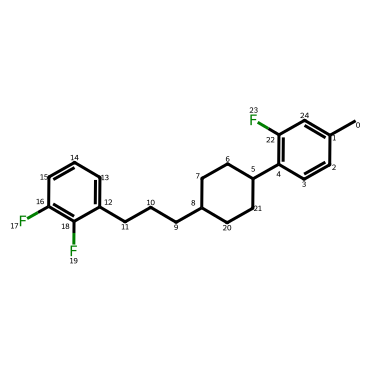 Cc1ccc(C2CCC(CCCc3cccc(F)c3F)CC2)c(F)c1